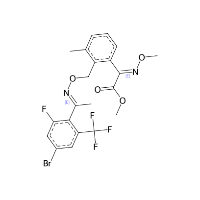 CO/N=C(/C(=O)OC)c1cccc(C)c1CO/N=C(\C)c1c(F)cc(Br)cc1C(F)(F)F